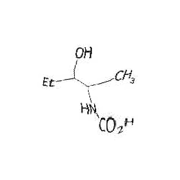 CCC(O)C(C)NC(=O)O